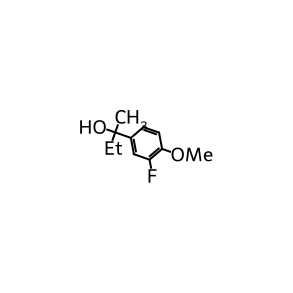 CCC(C)(O)c1ccc(OC)c(F)c1